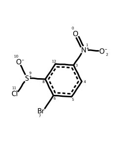 O=[N+]([O-])c1ccc(Br)c([S+]([O-])Cl)c1